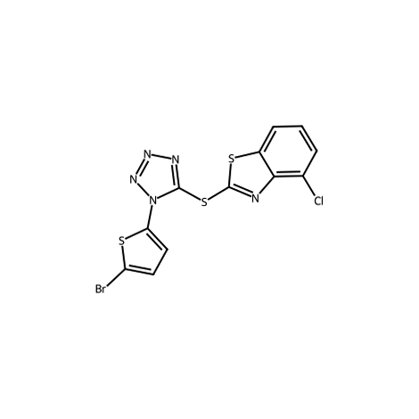 Clc1cccc2sc(Sc3nnnn3-c3ccc(Br)s3)nc12